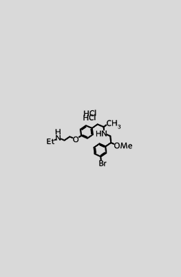 CCNCCOc1ccc(CC(C)NCC(OC)c2cccc(Br)c2)cc1.Cl.Cl